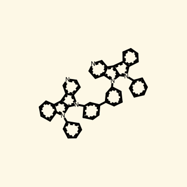 c1ccc(-n2c3ccccc3c3c4cnccc4n(-c4cccc(-c5cccc(-n6c7ccncc7c7c8ccccc8n(-c8ccccc8)c76)c5)c4)c32)cc1